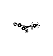 CNC(=O)c1ccc(NCC#Cc2cc3c(N[C@H]4CC[C@@H](N5CCOCC5)CC4)cccc3n2CC(F)(F)F)c(OC)c1